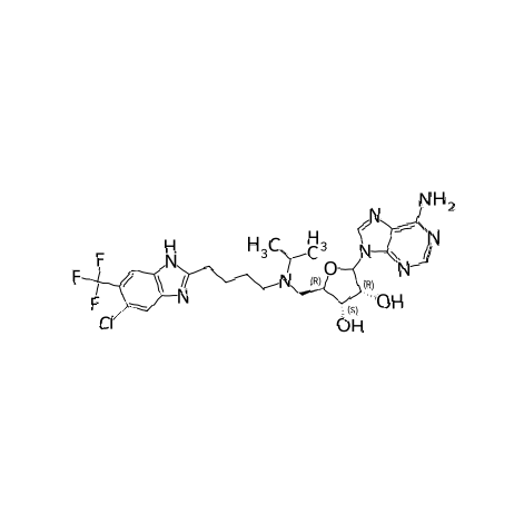 CC(C)N(CCCCc1nc2cc(Cl)c(C(F)(F)F)cc2[nH]1)C[C@H]1OC(n2cnc3c(N)ncnc32)[C@H](O)[C@@H]1O